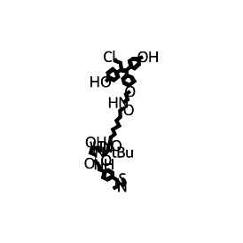 Cc1ncsc1-c1ccc(CNC(=O)[C@@H]2C[C@@H](O)CN2C(=O)[C@@H](NC(=O)CCCCCCCC(=O)NCCOc2ccc(C(=C(CCCl)c3ccc(O)cc3)c3ccc(O)cc3)cc2)C(C)(C)C)cc1